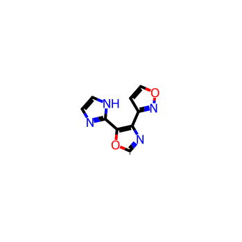 [c]1nc(-c2ccon2)c(-c2ncc[nH]2)o1